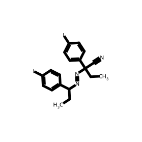 CCC(N=NC(C#N)(CC)c1ccc(I)cc1)c1ccc(I)cc1